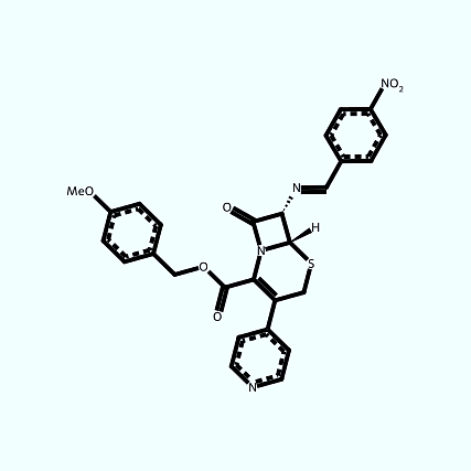 COc1ccc(COC(=O)C2=C(c3ccncc3)CS[C@H]3[C@@H](N=Cc4ccc([N+](=O)[O-])cc4)C(=O)N23)cc1